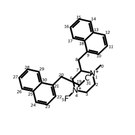 C[N+]12CC[N+](F)(CC1Cc1cccc3ccccc13)C(Cc1cccc3ccccc13)C2